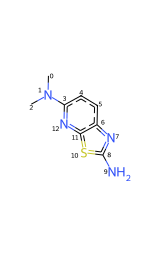 CN(C)c1ccc2nc(N)sc2n1